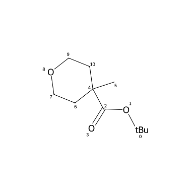 CC(C)(C)OC(=O)C1(C)CCOCC1